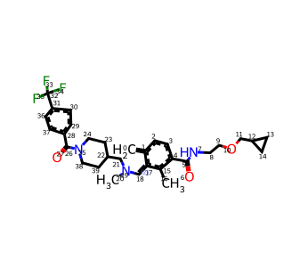 C=c1ccc(C(=O)NCCOCC2CC2)c(C)/c1=C/N(C)CC1CCN(C(=O)c2ccc(C(F)(F)F)cc2)CC1